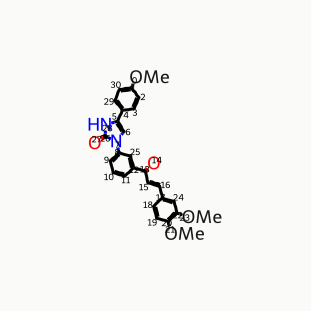 COc1ccc(-c2cn(-c3cccc(C(=O)C=Cc4ccc(OC)c(OC)c4)c3)c(=O)[nH]2)cc1